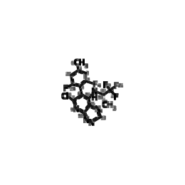 Cc1cc(F)c(-c2c(Cl)nc3nncnc3c2N[C@@H](C)C(F)(F)F)c(F)c1